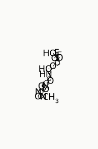 CN1CCOc2ncc(S(=O)(=O)N3CCC4(CC3)C[C@@H](NC[C@H](O)COc3cccc(S(=O)(=O)C(F)(F)CO)c3)CO4)cc21